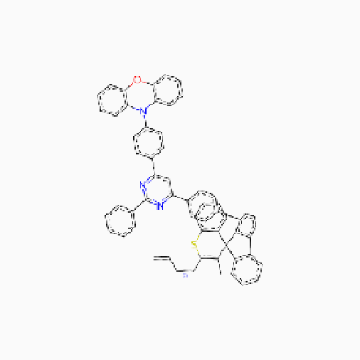 C=C/C=C\C1=C(C)C2(c3ccccc3S1)c1ccccc1-c1cccc(-c3ccc(-c4cc(-c5ccc(N6c7ccccc7Oc7ccccc76)cc5)nc(-c5ccccc5)n4)cc3)c12